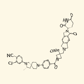 COC1(CN2Cc3cc4c(cc3C2)C(=O)N(C2CCC(=O)NC2=O)C4)CN(C(=O)c2ccc(N3CCC4(CC3)C[C@H](C)N(c3ccc(C#N)c(Cl)c3)C4)cc2)C1